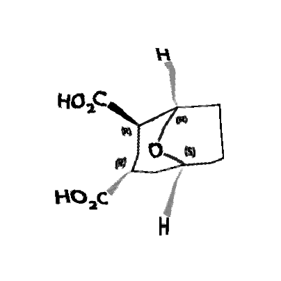 O=C(O)[C@@H]1[C@@H](C(=O)O)[C@H]2CC[C@@H]1O2